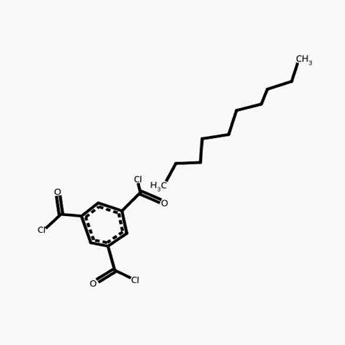 CCCCCCCCCC.O=C(Cl)c1cc(C(=O)Cl)cc(C(=O)Cl)c1